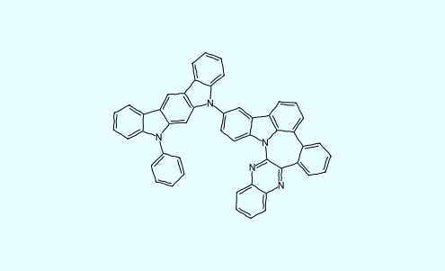 c1ccc(-n2c3ccccc3c3cc4c5ccccc5n(-c5ccc6c(c5)c5cccc7c5n6-c5nc6ccccc6nc5-c5ccccc5-7)c4cc32)cc1